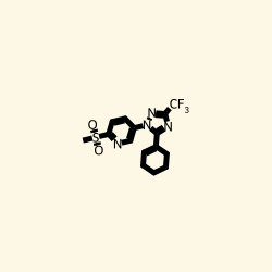 CS(=O)(=O)c1ccc(-n2nc(C(F)(F)F)nc2C2=CCCCC2)cn1